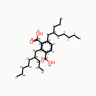 CCCCCC(CCC)Cc1ccc(C(=O)O)c(CC(CCC)CCCCC)c1C(=O)O